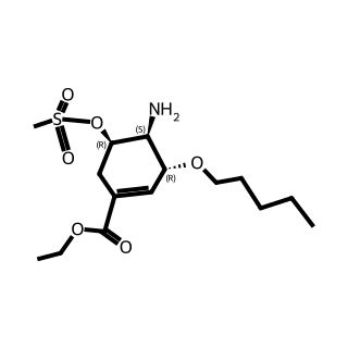 CCCCCO[C@@H]1C=C(C(=O)OCC)C[C@@H](OS(C)(=O)=O)[C@H]1N